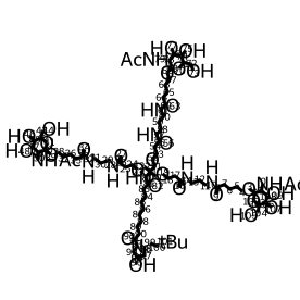 CC(=O)NC1C(OCCCCC(=O)NCCCNC(=O)CCOCC(COCCC(=O)NCCCNC(=O)CCCCOC2OC(CO)C(O)C(O)C2NC(C)=O)(COCCC(=O)NCCCNC(=O)CCCCOC2OC(CO)C(O)C(O)C2NC(C)=O)NC(=O)CCCCCCCCC(=O)N2C[C@H](O)C[C@H]2CCC(C)(C)C)OC(CO)C(O)C1O